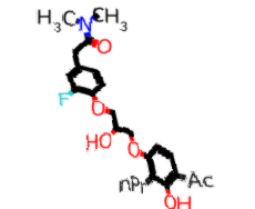 CCCc1c(OCC(O)COc2ccc(CC(=O)N(C)C)cc2F)ccc(C(C)=O)c1O